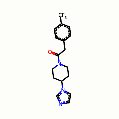 O=C(Cc1ccc(C(F)(F)F)cc1)N1CCC(n2ccnc2)CC1